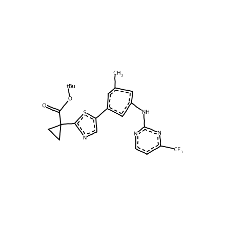 Cc1cc(Nc2nccc(C(F)(F)F)n2)cc(-c2cnc(C3(C(=O)OC(C)(C)C)CC3)s2)c1